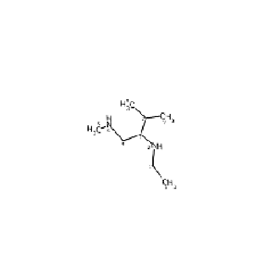 CCNC(CNC)C(C)C